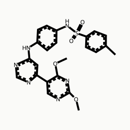 COc1ncc(-c2cc(Nc3ccc(NS(=O)(=O)c4ccc(C)cc4)cc3)ncn2)c(OC)n1